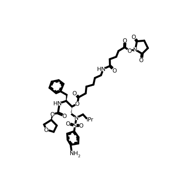 CC(C)CN(C[C@@H](OC(=O)CCCCCNC(=O)CCCC(=O)ON1C(=O)CCC1=O)[C@H](Cc1ccccc1)NC(=O)O[C@H]1CCOC1)S(=O)(=O)c1ccc(N)cc1